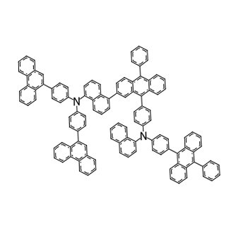 c1ccc(-c2c3ccccc3c(-c3ccc(N(c4ccc(-c5c6ccccc6c(-c6ccccc6)c6ccc(-c7cccc8c(N(c9ccc(-c%10cc%11ccccc%11c%11ccccc%10%11)cc9)c9ccc(-c%10cc%11ccccc%11c%11ccccc%10%11)cc9)cccc78)cc56)cc4)c4cccc5ccccc45)cc3)c3ccccc23)cc1